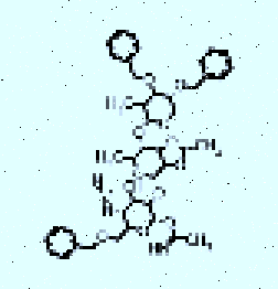 CC(=N)O[C@H]1OC(COCc2ccccc2)[C@H](N=[N+]=[N-])C(C)C1O[C@@H]1OC(C)[C@H](O[C@@H]2OC[C@@H](OCc3ccccc3)C(OCc3ccccc3)C2C)C2O[C@@H](C)OC21